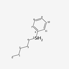 CCCCC[SiH2]c1ccccc1